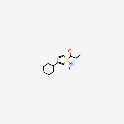 CCC(O)S1(NC)C=CC(C2CCCCC2)=C1